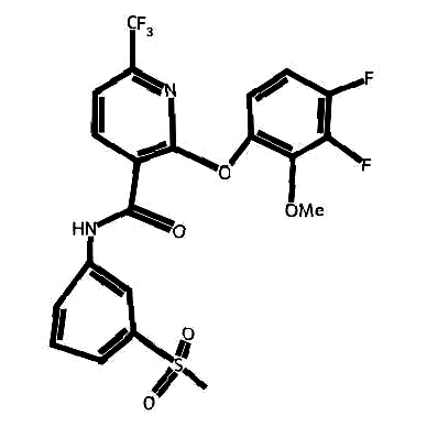 COc1c(Oc2nc(C(F)(F)F)ccc2C(=O)Nc2cccc(S(C)(=O)=O)c2)ccc(F)c1F